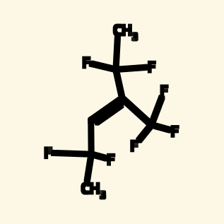 CC(F)(F)/C=C(/C(C)(F)F)C(F)(F)F